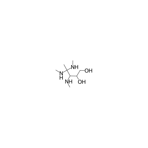 CNC(C(O)CO)C(C)(NC)NC